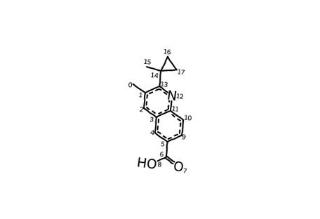 Cc1cc2cc(C(=O)O)ccc2nc1C1(C)CC1